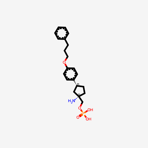 N[C@@]1(COP(=O)(O)O)CC[C@@H](c2ccc(OCCCc3ccccc3)cc2)C1